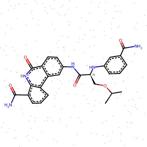 CC(C)OC[C@H](Nc1cccc(C(N)=O)c1)C(=O)Nc1ccc2c(=O)[nH]c3c(C(N)=O)cccc3c2c1